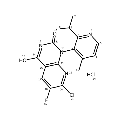 Cc1ccnc(C(C)C)c1-n1c(=O)nc(O)c2cc(F)c(Cl)nc21.Cl